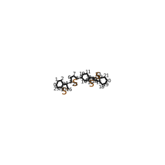 c1ccc2c(-c3ccc(-c4ccc5c(c4)sc4c6ccccc6sc54)s3)csc2c1